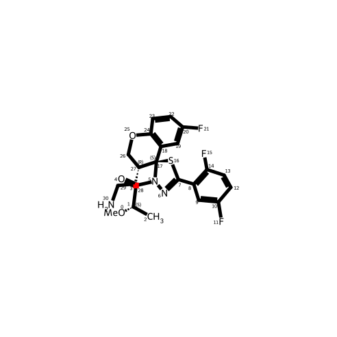 CO[C@@H](C)C(=O)N1N=C(c2cc(F)ccc2F)S[C@@]12c1cc(F)ccc1OC[C@H]2CCN